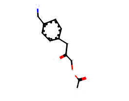 NCc1ccc(CC(=O)COC(=O)C(F)(F)F)cc1